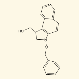 OCC1CN(OCc2ccccc2)c2ccc3ccccc3c21